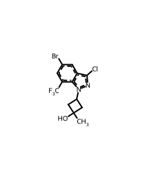 CC1(O)CC(n2nc(Cl)c3cc(Br)cc(C(F)(F)F)c32)C1